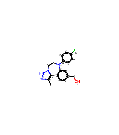 CC1=C2c3ccc(CO)cc3N(c3ccc(Cl)cc3)CCN2NN1